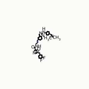 CN(C)Cc1ccc(Nc2ncc3cc(/C=C/CNC(=O)c4cncn(Cc5ccc(F)c(F)c5)c4=O)ccc3n2)cc1